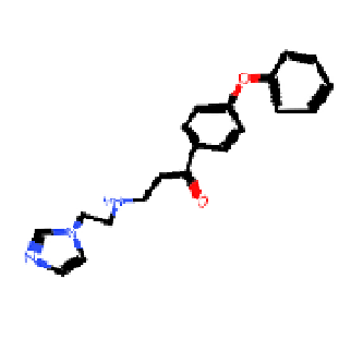 O=C(CCNCCn1ccnc1)c1ccc(Oc2ccccc2)cc1